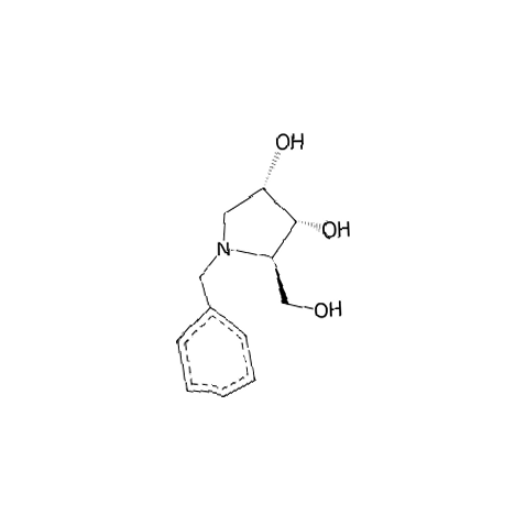 OC[C@@H]1[C@@H](O)[C@@H](O)CN1Cc1ccccc1